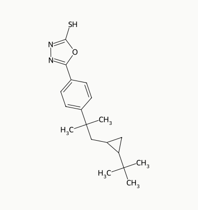 CC(C)(CC1CC1C(C)(C)C)c1ccc(-c2nnc(S)o2)cc1